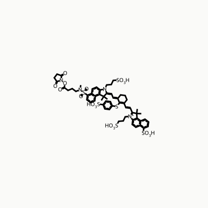 CN(CCCC(=O)ON1C(=O)CCC1=O)S(=O)(=O)c1cccc2c3c(ccc12)N(CCCS(=O)(=O)O)/C(=C/C=C1\CCCC(/C=C/C2=[N+](CCCS(=O)(=O)O)c4ccc5c(S(=O)(=O)O)cccc5c4C2(C)C)=C1Sc1ccc(S(=O)(=O)O)cc1)C3(C)C